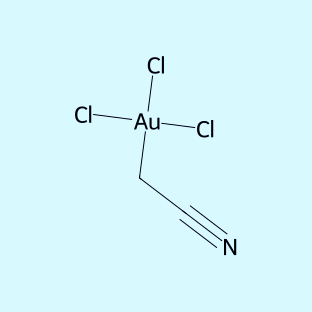 N#C[CH2][Au]([Cl])([Cl])[Cl]